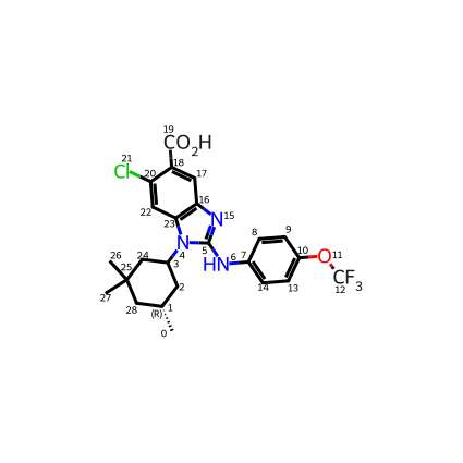 C[C@H]1CC(n2c(Nc3ccc(OC(F)(F)F)cc3)nc3cc(C(=O)O)c(Cl)cc32)CC(C)(C)C1